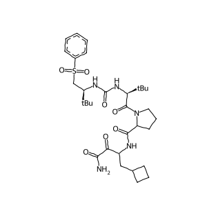 CC(C)(C)[C@H](NC(=O)N[C@H](CS(=O)(=O)c1ccccc1)C(C)(C)C)C(=O)N1CCCC1C(=O)NC(CC1CCC1)C(=O)C(N)=O